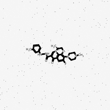 Cc1cccc(NNC(=O)c2cn3c4c(c(N5CCN(C)CC5)c(F)cc4c2=O)OC[C@@H]3C)c1